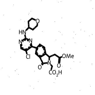 COC(=O)CC1c2ccc(-c3nc(NC4CCOCC4)ncc3Cl)cc2C(=O)N1CC(=O)O